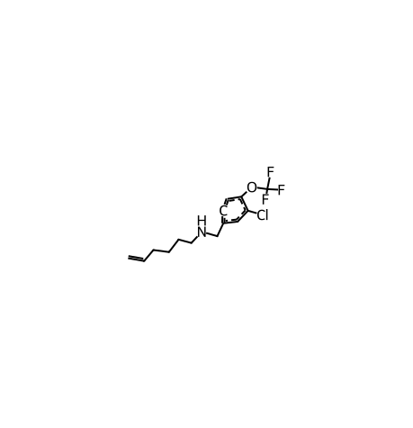 C=CCCCCNCc1ccc(OC(F)(F)F)c(Cl)c1